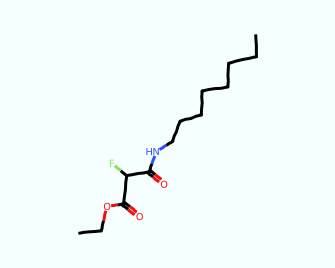 CCCCCCCCNC(=O)C(F)C(=O)OCC